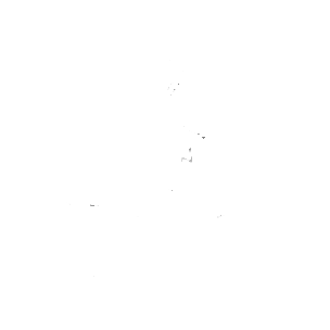 N#C[C@]1(c2ccccc2)CC[C@@](OCC2CC2)(c2cc(-c3ccccc3)n(CC3CC3)n2)CC1